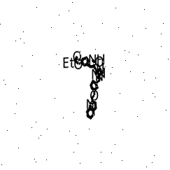 CCC(=O)Oc1ccc2[nH]c(=O)c(-c3nnn(Cc4cccc(OCc5ccc6ccccc6n5)c4)n3)cc2c1